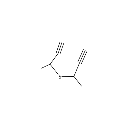 C#CC(C)SC(C)C#C